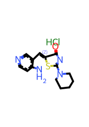 Cl.Nc1ccncc1/C=C1\SC(N2CCCCC2)=NC1=O